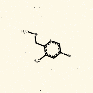 CNCc1ncc(Br)cc1C